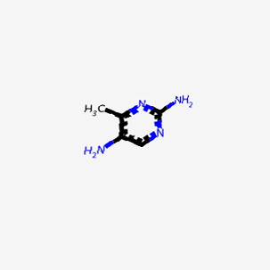 Cc1nc(N)ncc1N